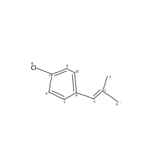 [CH2]/C(C)=C/c1ccc(Cl)cc1